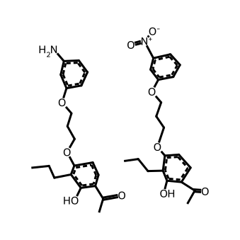 CCCc1c(OCCCOc2cccc(N)c2)ccc(C(C)=O)c1O.CCCc1c(OCCCOc2cccc([N+](=O)[O-])c2)ccc(C(C)=O)c1O